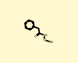 CCC(C)ONC(=O)Cc1ccccc1